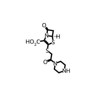 O=C(O)C1=C(SCC(=O)N2CCNCC2)S[C@@H]2CC(=O)N12